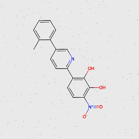 Cc1ccccc1-c1ccc(-c2ccc([N+](=O)[O-])c(O)c2O)nc1